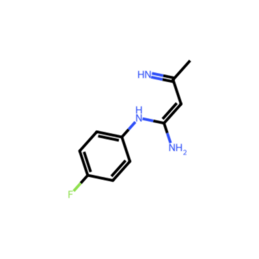 CC(=N)/C=C(/N)Nc1ccc(F)cc1